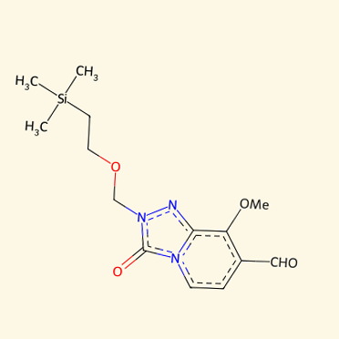 COc1c(C=O)ccn2c(=O)n(COCC[Si](C)(C)C)nc12